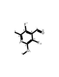 COc1nc(C)c(F)c(C=O)c1F